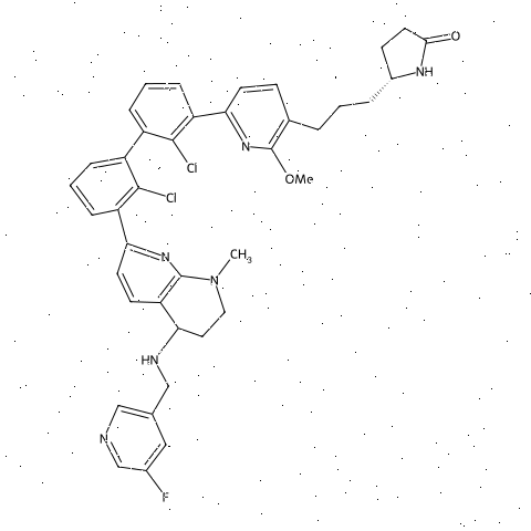 COc1nc(-c2cccc(-c3cccc(-c4ccc5c(n4)N(C)CCC5NCc4cncc(F)c4)c3Cl)c2Cl)ccc1CCC[C@@H]1CCC(=O)N1